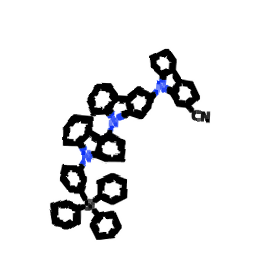 N#Cc1ccc2c3ccccc3n(-c3ccc4c(c3)c3ccccc3n4-c3cccc4c3c3ccccc3n4-c3cccc([Si](c4ccccc4)(c4ccccc4)c4ccccc4)c3)c2c1